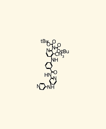 Cc1c(Nc2cccc(C(=O)Nc3cc(Nc4ccncc4)ccn3)c2)ccnc1N(C(=O)OC(C)(C)C)C(=O)OC(C)(C)C